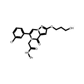 CC(C)NC(=O)Cn1c(-c2cccc(Cl)c2)cn2nc(OCCCO)cc2c1=O